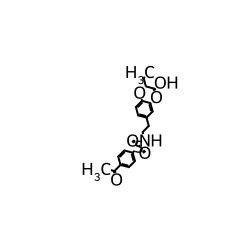 CCC(Oc1ccc(CCNS(=O)(=O)c2ccc(C(C)=O)cc2)cc1)C(=O)O